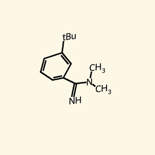 CN(C)C(=N)c1cccc(C(C)(C)C)c1